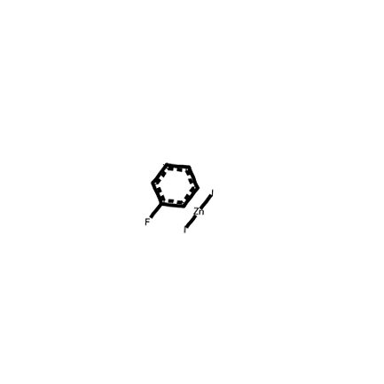 Fc1c[c]ccc1.[I][Zn][I]